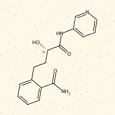 NC(=O)c1ccccc1C[CH][C@H](O)C(=O)Nc1cccnc1